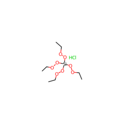 CCOO[Si](OOCC)(OOCC)OOCC.Cl